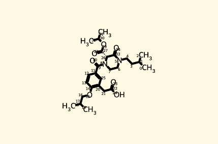 CC(C)CCN1CCN(C(=O)c2ccc(OCC(C)C)c(CC(=O)O)c2)[C@H](C(=O)OC(C)C)C1=O